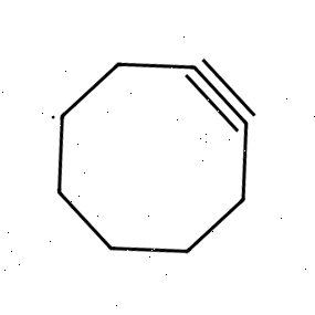 C1#CCCCC[CH]C1